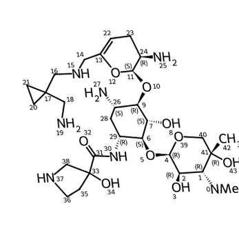 CN[C@@H]1[C@@H](O)[C@@H](O[C@@H]2[C@@H](O)[C@H](O[C@H]3OC(CNCC4(CN)CC4)=CC[C@H]3N)[C@@H](N)C[C@H]2NC(=O)C2(O)CCNC2)OC[C@]1(C)O